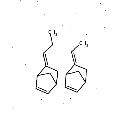 CC=C1CC2C=CC1C2.CCC=C1CC2C=CC1C2